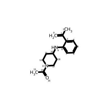 C=C(C)c1ccccc1NC1CCN(C(C)=O)CC1